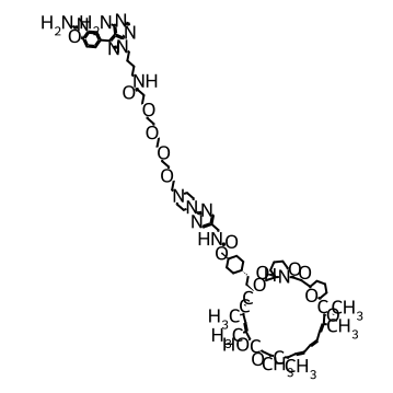 CO[C@H]1CC2CCCC(O2)C(=O)C(=O)N2CCCC[C@H]2C(=O)O[C@H](CC[C@H]2CC[C@H](OC(=O)NCc3cnc(N4CCN(CCOCCOCCOCCOCCC(=O)NCCCCn5nc(-c6ccc7oc(N)nc7c6)c6c(N)ncnc65)CC4)nc3)CC2)CC[C@H](C)/C=C(\C)[C@@H](O)CC(=O)[C@H](C)C[C@H](C)/C=C/C=C/C=C/1C